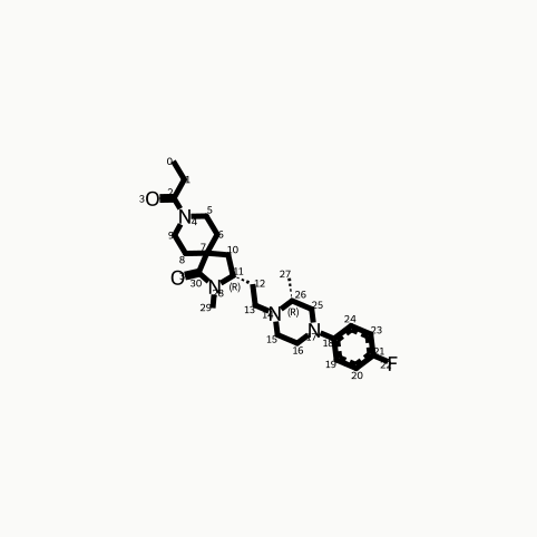 CCC(=O)N1CCC2(CC1)C[C@H](CCN1CCN(c3ccc(F)cc3)C[C@H]1C)N(C)C2=O